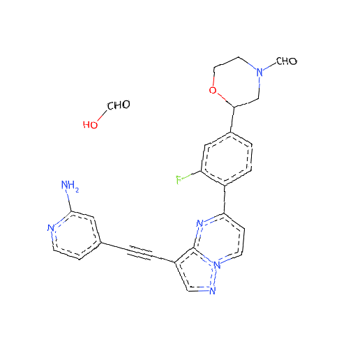 Nc1cc(C#Cc2cnn3ccc(-c4ccc(C5CN(C=O)CCO5)cc4F)nc23)ccn1.O=CO